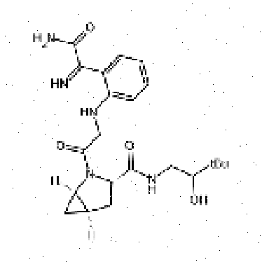 CC(C)(C)C(O)CNC(=O)[C@@H]1C[C@H]2C[C@H]2N1C(=O)CNc1ccccc1C(=N)C(N)=O